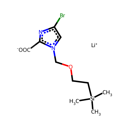 C[Si](C)(C)CCOCn1cc(Br)nc1C(=O)[O-].[Li+]